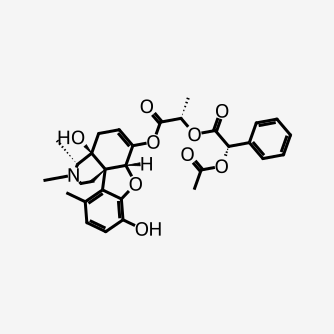 CC(=O)O[C@H](C(=O)O[C@@H](C)C(=O)OC1=CC[C@@]2(O)[C@@H](C)N(C)CC[C@@]23c2c(C)ccc(O)c2O[C@@H]13)c1ccccc1